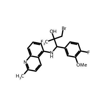 COc1cc(C(Nc2cccc3nc(C)ccc23)C(O)(CBr)C(F)(F)F)ccc1F